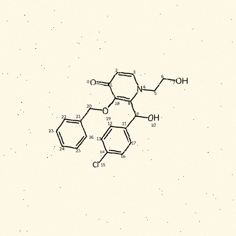 O=c1ccn(CCO)c(C(O)c2ccc(Cl)cc2)c1OCc1ccccc1